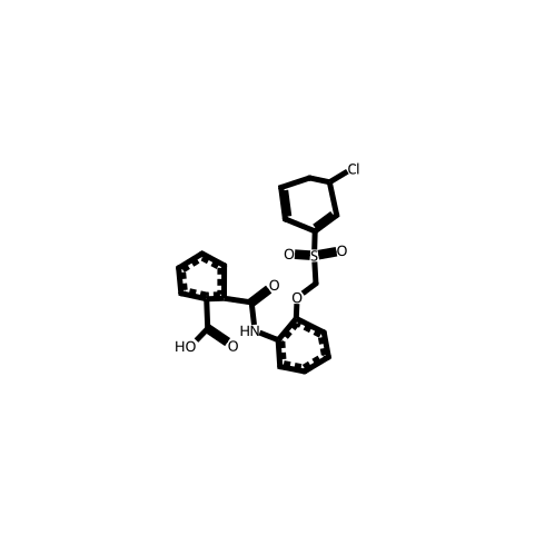 O=C(O)c1ccccc1C(=O)Nc1ccccc1OCS(=O)(=O)C1=CC(Cl)CC=C1